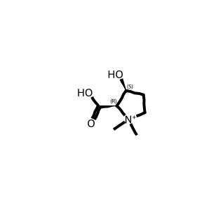 C[N+]1(C)CC[C@H](O)[C@@H]1C(=O)O